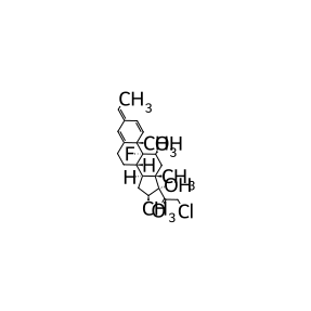 C/C=C1\C=C[C@@]2(C)C(=C1)CC[C@H]1[C@@H]3C[C@H](C)[C@](O)(C(=O)CCl)[C@@]3(C)C[C@H](O)[C@@]12F